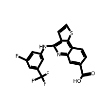 O=C(O)c1ccc2c(c1)nc(Nc1cc(F)cc(C(F)(F)F)c1)c1ccsc12